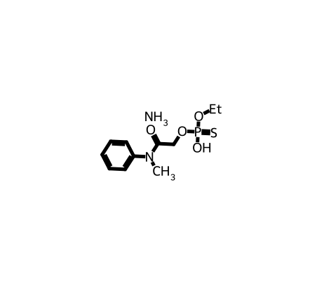 CCOP(O)(=S)OCC(=O)N(C)c1ccccc1.N